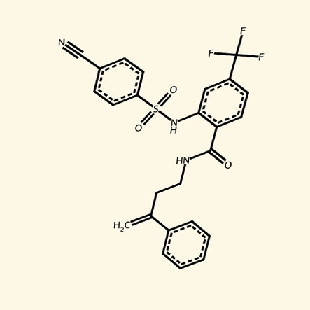 C=C(CCNC(=O)c1ccc(C(F)(F)F)cc1NS(=O)(=O)c1ccc(C#N)cc1)c1ccccc1